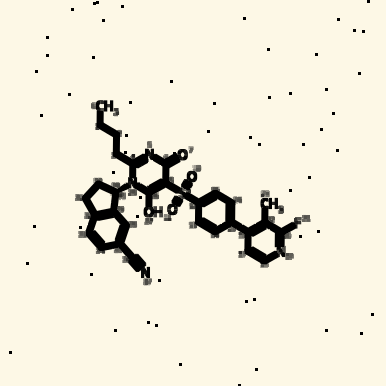 CCCCc1nc(=O)c(S(=O)(=O)c2ccc(-c3ccnc(F)c3C)cc2)c(O)n1[C@@H]1CCc2ccc(C#N)cc21